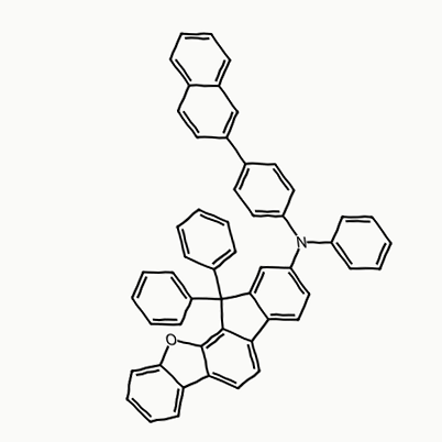 c1ccc(N(c2ccc(-c3ccc4ccccc4c3)cc2)c2ccc3c(c2)C(c2ccccc2)(c2ccccc2)c2c-3ccc3c2oc2ccccc23)cc1